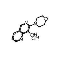 Cl.Oc1c(N2CCOCC2)ncc2cccnc12